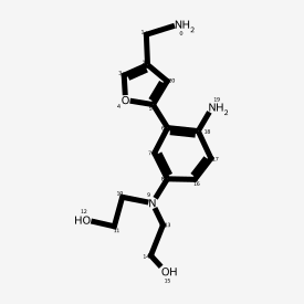 NCc1coc(-c2cc(N(CCO)CCO)ccc2N)c1